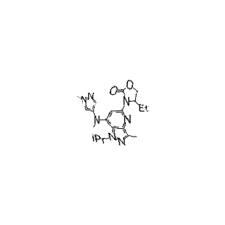 CCC1COC(=O)N1c1cc(N(C)c2cnn(C)c2)c2c(n1)c(C)nn2C(C)C